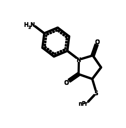 CCCSC1CC(=O)N(c2ccc(N)cc2)C1=O